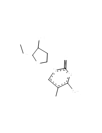 CC[C@H]1O[C@@H](n2cc(C)c(N)nc2=O)CC1O